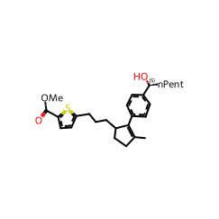 CCCCC[C@H](O)c1ccc(C2=C(C)CCC2CCCc2ccc(C(=O)OC)s2)cc1